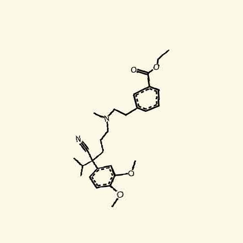 CCOC(=O)c1cccc(CCN(C)CCCC(C#N)(c2ccc(OC)c(OC)c2)C(C)C)c1